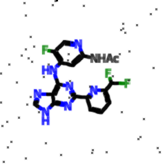 CC(=O)Nc1cc(Nc2nc(-c3cccc(C(F)F)n3)nc3[nH]cnc23)c(F)cn1